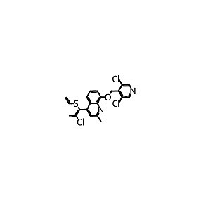 C=CS/C(=C(\C)Cl)c1cc(C)nc2c(OCc3c(Cl)cncc3Cl)cccc12